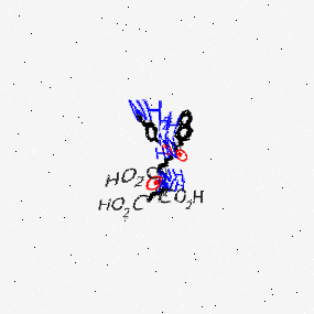 NCC1CCC(CNC(=O)N[C@@H](Cc2ccc3ccccc3c2)C(=O)NCCCC[C@H](NC(=O)N[C@@H](CCC(=O)O)C(=O)O)C(=O)O)CC1